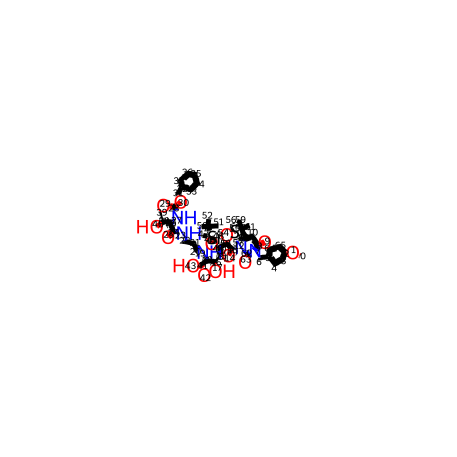 COc1ccc(Cn2c(=O)ccn([C@@H]3O[C@@H](C(O)[C@H](NCCCNC(=O)[C@@H](NC(=O)OCc4ccccc4)[C@H](C)O)C(=O)O)[C@@H](O[Si](C)(C)C(C)(C)C)[C@H]3O[Si](C)(C)C(C)(C)C)c2=O)cc1